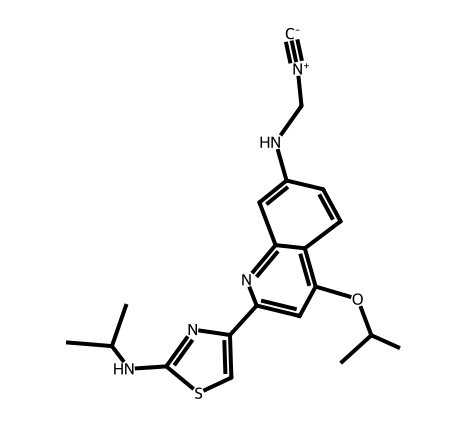 [C-]#[N+]CNc1ccc2c(OC(C)C)cc(-c3csc(NC(C)C)n3)nc2c1